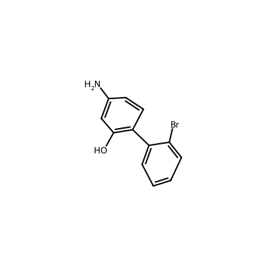 Nc1ccc(-c2ccccc2Br)c(O)c1